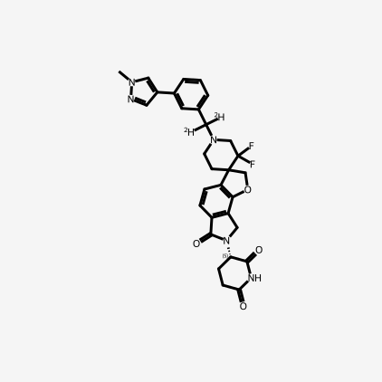 [2H]C([2H])(c1cccc(-c2cnn(C)c2)c1)N1CCC2(COc3c2ccc2c3CN([C@H]3CCC(=O)NC3=O)C2=O)C(F)(F)C1